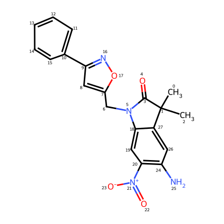 CC1(C)C(=O)N(Cc2cc(-c3ccccc3)no2)c2cc([N+](=O)[O-])c(N)cc21